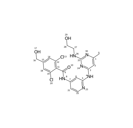 Cc1cc(Nc2cc(NC(=O)c3c(Cl)cc(CO)cc3Cl)ccn2)nc(NCCO)n1